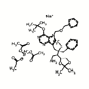 CC(=O)O[BH-](OC(C)=O)OC(C)=O.CS[C@@](Cc1ccccc1)(Cc1cn(COCc2ccccc2)c2c(OC(C)(C)C)ncnc12)[C@H](CN)[C@@H]1COC(C)(C)O1.[Na+]